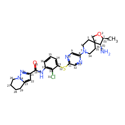 C[C@@H]1OCC2(CCN(c3cnc(Sc4cccc(NC(=O)c5cc6n(n5)CCCC6)c4Cl)cn3)CC2)[C@@H]1N